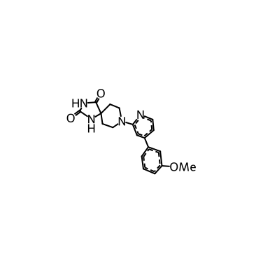 COc1cccc(-c2ccnc(N3CCC4(CC3)NC(=O)NC4=O)c2)c1